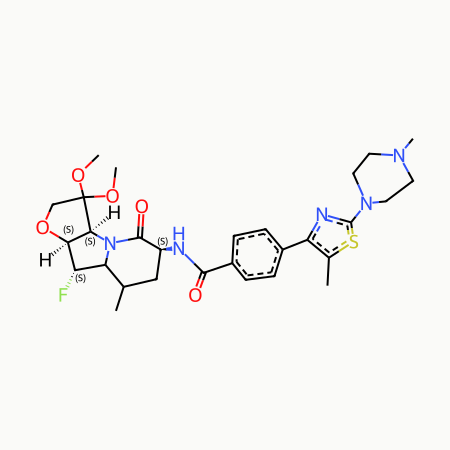 COC1(OC)CO[C@H]2[C@@H]1N1C(=O)[C@@H](NC(=O)c3ccc(-c4nc(N5CCN(C)CC5)sc4C)cc3)CC(C)C1[C@@H]2F